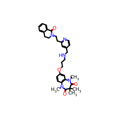 CN1C(=O)C(C)(C)C(=O)N(C)c2cc(OCCCNCc3ccnc(CCN4CCc5ccccc5C4=O)c3)ccc21